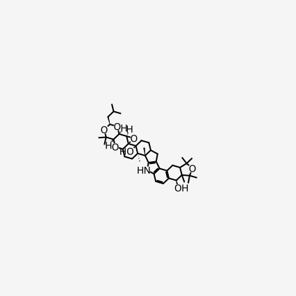 CC(C)C[C@H]1O[C@H]2[C@H]3O[C@@]34C(CC[C@@]3(C)[C@@]4(O)CCC4Cc5c([nH]c6ccc7c(c56)CC5C(C)(C)OC(C)(C)C5(C)[C@H]7O)[C@@]43C)O[C@@H]2C(C)(C)O1